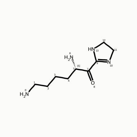 NCCCC[C@H](N)C(=O)C1=NCCN1